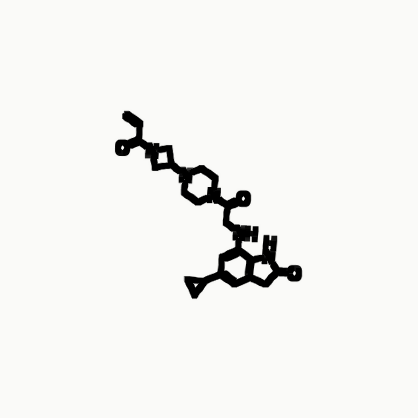 C=CC(=O)N1CC(N2CCN(C(=O)CNc3cc(C4CC4)cc4c3NC(=O)C4)CC2)C1